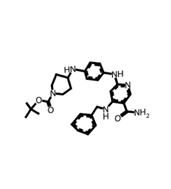 CC(C)(C)OC(=O)N1CCC(Nc2ccc(Nc3cc(NCc4ccccc4)c(C(N)=O)cn3)cc2)CC1